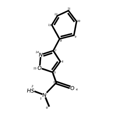 CN(S)C(=O)c1cc(-c2ccccc2)no1